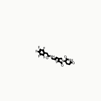 O=C(Cc1c(F)c(F)c(F)c(F)c1F)NCc1cc2c(s1)C(=O)N(C1CCC(=O)NC1=O)C2